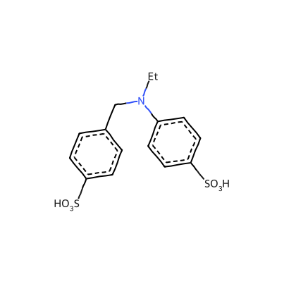 CCN(Cc1ccc(S(=O)(=O)O)cc1)c1ccc(S(=O)(=O)O)cc1